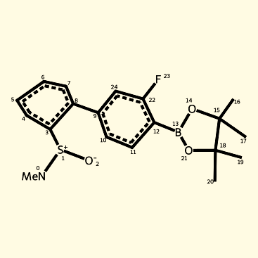 CN[S+]([O-])c1ccccc1-c1ccc(B2OC(C)(C)C(C)(C)O2)c(F)c1